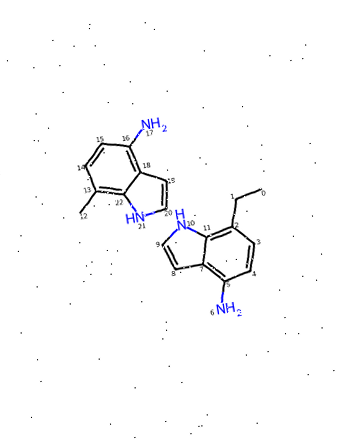 CCc1ccc(N)c2cc[nH]c12.Cc1ccc(N)c2cc[nH]c12